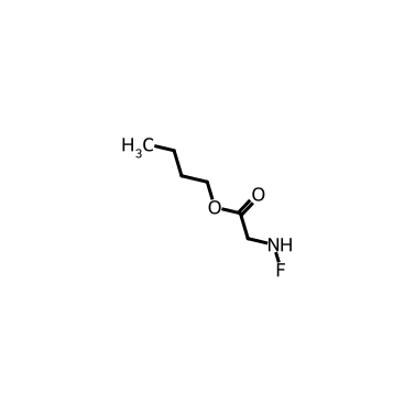 CCCCOC(=O)CNF